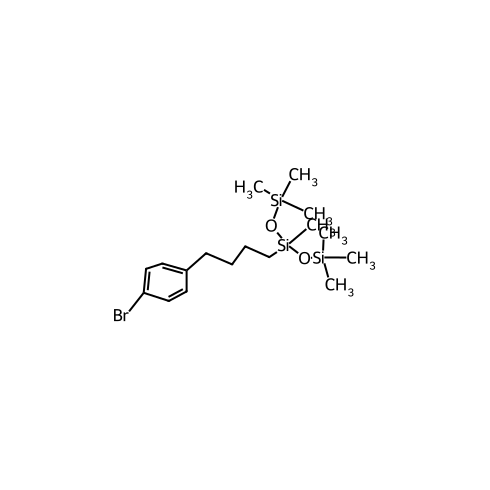 C[Si](C)(C)O[Si](C)(CCCCc1ccc(Br)cc1)O[Si](C)(C)C